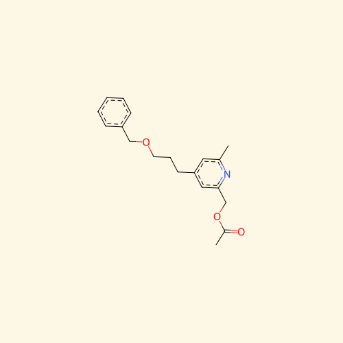 CC(=O)OCc1cc(CCCOCc2ccccc2)cc(C)n1